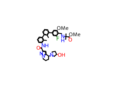 COC(=O)C(C)(C)NCc1c(F)cc(-c2cccc(-c3cccc(NC(=O)c4cc5n(n4)CCCC5N4CC[C@@H](O)C4)c3C)c2C)cc1OC